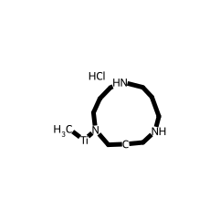 Cl.[CH3][Ti][N]1CCCNCCCNCCC1